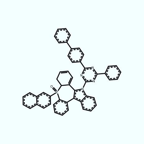 O=P1(c2ccc3ccccc3c2)c2ccccc2-c2c(n(-c3nc(-c4ccccc4)nc(-c4ccc(-c5ccccc5)cc4)n3)c3ccccc23)C2=CC=CCC21